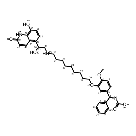 COc1ccc(C(NC(=O)O)c2ccccc2)cc1OCCCCCCCCCNC[C@@H](O)c1ccc(O)c2[nH]c(=O)ccc12